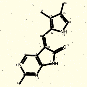 Cc1ncc2c(n1)NC(=O)C2=Cc1[nH]cc(C)c1C